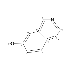 [O]c1ccc2ncncc2c1